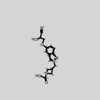 N#CC(O)COc1ccc2nn(CC3CN(C(=O)O)C3)cc2c1